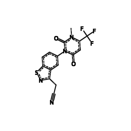 Cn1c(C(F)(F)F)cc(=O)n(-c2ccc3snc(CC#N)c3c2)c1=O